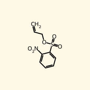 C=CCOS(=O)(=O)c1ccccc1[N+](=O)[O-]